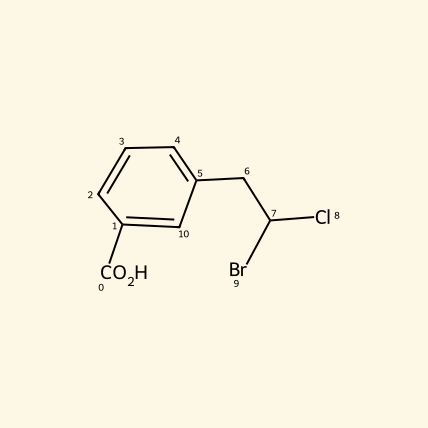 O=C(O)c1cccc(CC(Cl)Br)c1